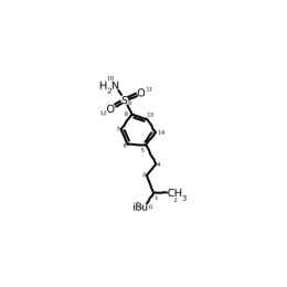 CCC(C)C(C)CCc1ccc(S(N)(=O)=O)cc1